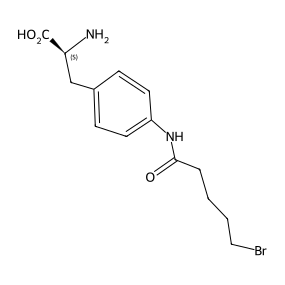 N[C@@H](Cc1ccc(NC(=O)CCCCBr)cc1)C(=O)O